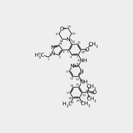 CCn1cc(-c2cc(Nc3nccc(Nc4ccc(C)c(C)c4P(C)(C)=O)n3)c(OC)cc2N2CCOCC2)cn1